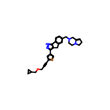 C(#Cc1cc(-c2n[nH]c3c2Cc2cc(CN4CCN5CCC=C5C4)ccc2-3)cs1)COCC1CC1